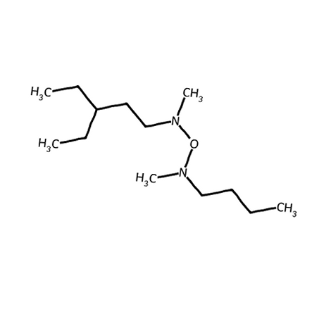 CCCCN(C)ON(C)CCC(CC)CC